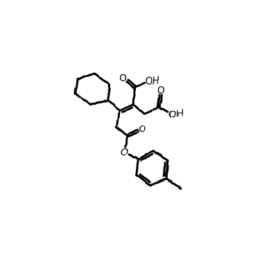 Cc1ccc(OC(=O)CC(=C(CC(=O)O)C(=O)O)C2CCCCC2)cc1